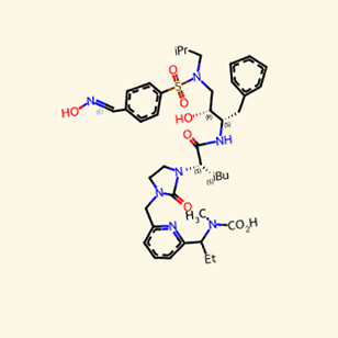 CCC(c1cccc(CN2CCN([C@H](C(=O)N[C@@H](Cc3ccccc3)[C@H](O)CN(CC(C)C)S(=O)(=O)c3ccc(/C=N/O)cc3)[C@@H](C)CC)C2=O)n1)N(C)C(=O)O